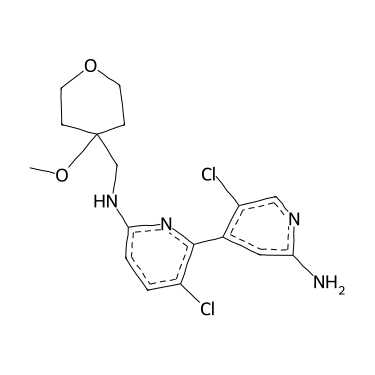 COC1(CNc2ccc(Cl)c(-c3cc(N)ncc3Cl)n2)CCOCC1